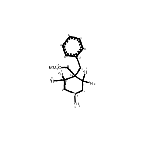 [2H]C1([2H])CN(C)CC([2H])([2H])C1(CC(=O)OCC)Cc1ccccc1